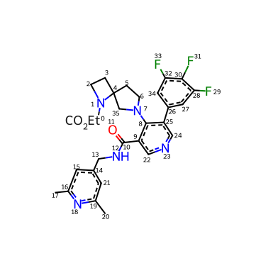 CCOC(=O)N1CCC12CCN(c1c(C(=O)NCc3cc(C)nc(C)c3)cncc1-c1cc(F)c(F)c(F)c1)C2